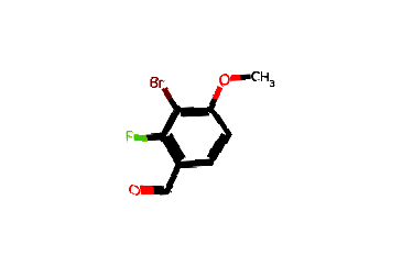 COc1ccc([C]=O)c(F)c1Br